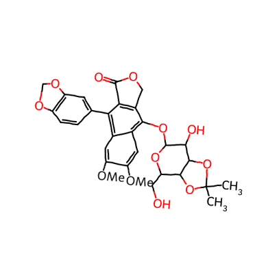 COc1cc2c(OC3OC(CO)C4OC(C)(C)OC4C3O)c3c(c(-c4ccc5c(c4)OCO5)c2cc1OC)C(=O)OC3